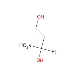 CCC(O)(CCO)S(=O)(=O)O